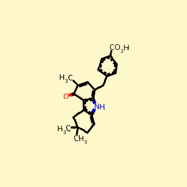 CC1=CC(Cc2ccc(C(=O)O)cc2)=c2[nH]c3c(c2C1=O)CC(C)(C)CC=3